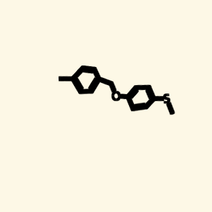 CSc1ccc(OCc2ccc(C)cc2)cc1